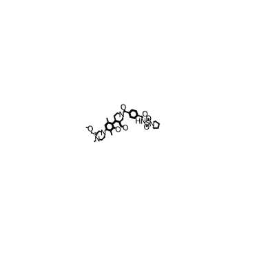 COC[C@H]1CN(c2cc(C)c3c4c(c(=O)oc3c2C)CN(C(=O)c2ccc(C(=O)NS(=O)(=O)N3CCCC3)cc2)CC4)CCN1C